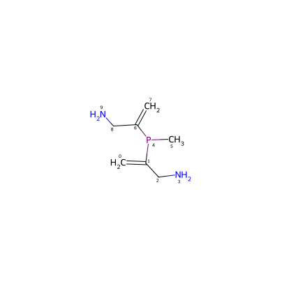 C=C(CN)P(C)C(=C)CN